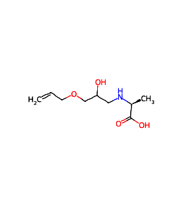 C=CCOCC(O)CN[C@@H](C)C(=O)O